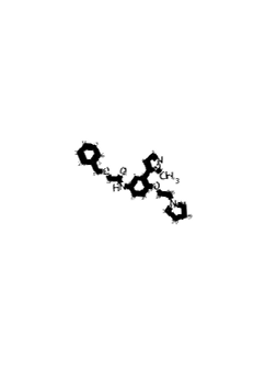 Cn1nccc1-c1cc(NC(=O)COCc2ccccc2)ccc1OCCN1CCCC1